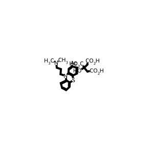 CC(=O)c1ccc2c(c1)N(CCCN(C)C)c1ccccc1S2.O=C(O)CC(O)(CC(=O)O)C(=O)O